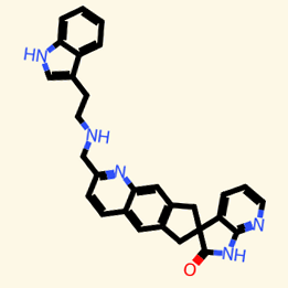 O=C1Nc2ncccc2C12Cc1cc3ccc(CNCCc4c[nH]c5ccccc45)nc3cc1C2